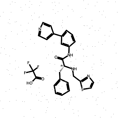 O=C(Nc1cccc(-c2ccncc2)c1)[C@@H](Cc1ccccc1)NCc1nccs1.O=C(O)C(F)(F)F